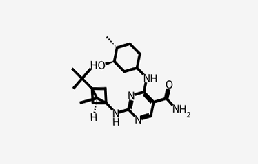 C[C@@H]1CCC(Nc2nc(NC34CC(C(C)(C)C)(C3)[C@@H]4C)ncc2C(N)=O)C[C@H]1O